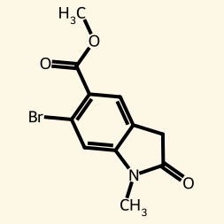 COC(=O)c1cc2c(cc1Br)N(C)C(=O)C2